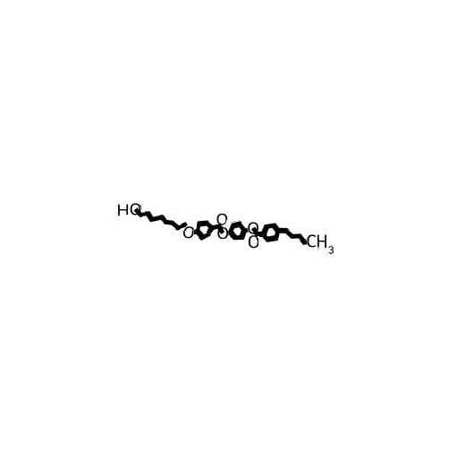 CCCCCc1ccc(C(=O)Oc2ccc(OC(=O)c3ccc(OCCCCCCCCO)cc3)cc2)cc1